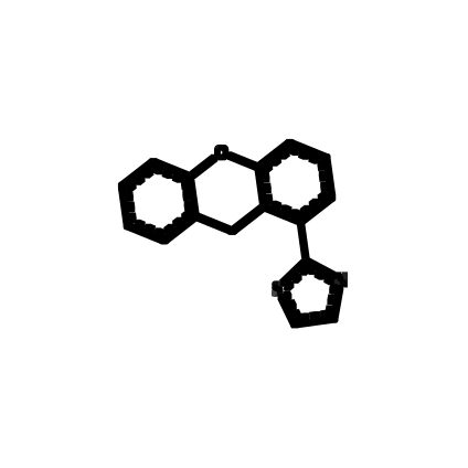 c1ccc2c(c1)Cc1c(cccc1-c1nccs1)O2